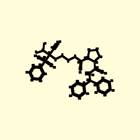 CC(C)C(C#N)(CCCCC(=O)N1CCC[C@@H]1C(=O)NC(c1ccccc1)c1ccccc1)S(=O)(=O)c1ccccc1